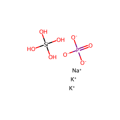 O=P([O-])([O-])[O-].O[Si](O)(O)O.[K+].[K+].[Na+]